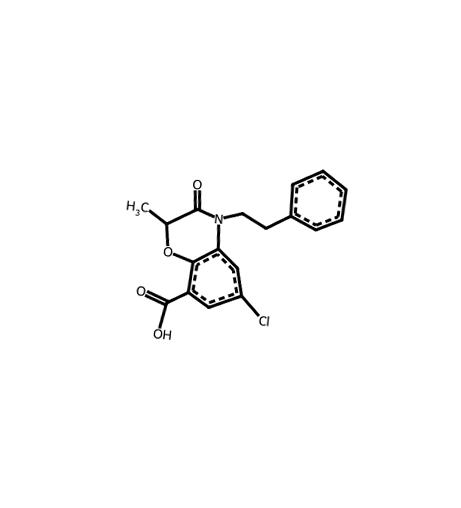 CC1Oc2c(C(=O)O)cc(Cl)cc2N(CCc2ccccc2)C1=O